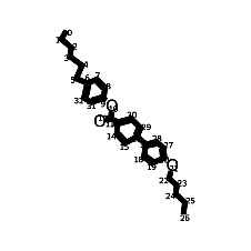 CCCCCCc1ccc(OC(=O)c2ccc(-c3ccc(OCCCCC)cc3)cc2)cc1